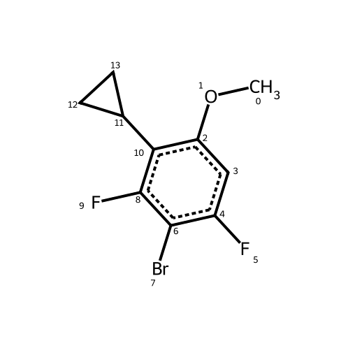 COc1cc(F)c(Br)c(F)c1C1CC1